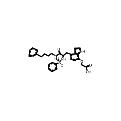 O=C(O)COc1ccc(CC(NS(=O)(=O)c2ccccc2)C(=O)NCCCCc2ccccc2)c2cc[nH]c12